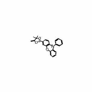 C=C1OB(c2ccc3c(c2)Oc2ccccc2N3c2ccccc2)OC1(C)C